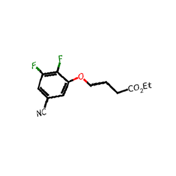 CCOC(=O)CCCOc1cc(C#N)cc(F)c1F